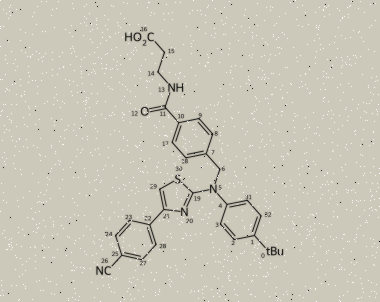 CC(C)(C)c1ccc(N(Cc2ccc(C(=O)NCCC(=O)O)cc2)c2nc(-c3ccc(C#N)cc3)cs2)cc1